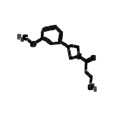 O=C(CCC(F)(F)F)N1CC(c2cccc(OC(F)(F)F)c2)C1